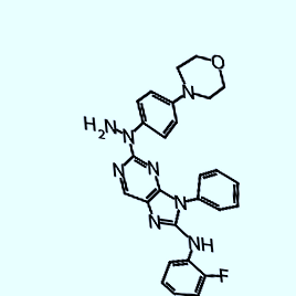 NN(c1ccc(N2CCOCC2)cc1)c1ncc2nc(Nc3ccccc3F)n(-c3ccccc3)c2n1